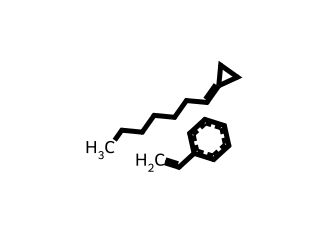 C=Cc1ccccc1.CCCCCCC=C1CC1